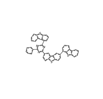 c1ccc(-c2nc(-c3ccc4sc5ccc(-c6cccc7c6sc6ccccc67)cc5c4c3)nc(-c3cccc4sc5ccccc5c34)n2)cc1